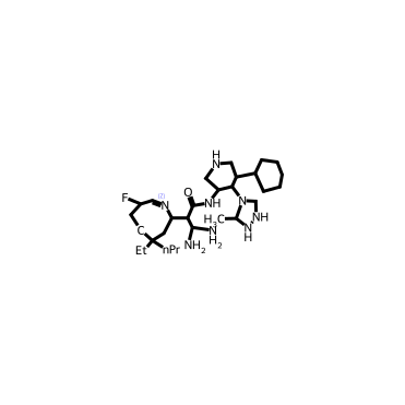 CCCC1(CC)CCC(F)/C=N\C(C(C(=O)NC2CNCC(C3CCCCC3)C2N2CNNC2C)C(N)N)C1